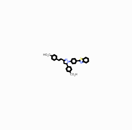 O=C(O)c1ccc(/C=C/C2=NN(c3ccc(-c4nc5ccccc5s4)cc3)C(c3ccc(C(=O)O)cc3)C2)cc1